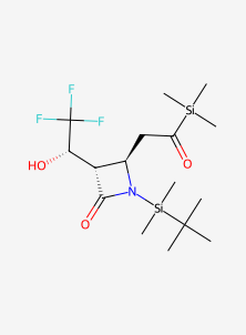 CC(C)(C)[Si](C)(C)N1C(=O)[C@H]([C@H](O)C(F)(F)F)[C@H]1CC(=O)[Si](C)(C)C